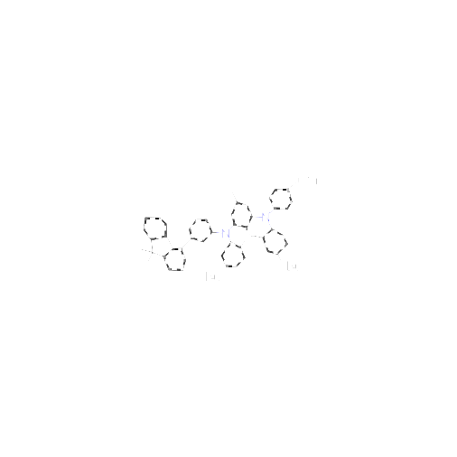 Cc1cc2c3c(c1)N(c1cccc(-c4cccc5c4-c4ccccc4C5(C)C)c1)c1cc(C(C)(C)C)ccc1B3c1cc(C(C)(C)C)ccc1N2c1ccc(C(C)(C)C)cc1